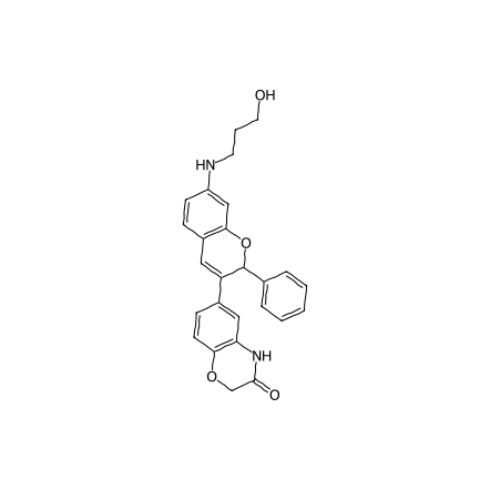 O=C1COc2ccc(C3=Cc4ccc(NCCCO)cc4OC3c3ccccc3)cc2N1